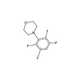 Fc1cc(F)c(F)c(N2CCOCC2)c1F